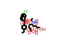 CCc1ccc(C2(OC)OOC23C2CC4CC3CC(Cl)(C4)C2)cc1OC1(C(=O)O)CC(O)C(NC(C)=O)C(C(O)C(O)CO)O1